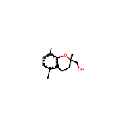 Cc1ccc(C)c2c1CCC(C)(CO)O2